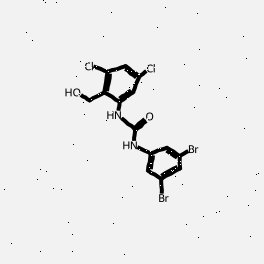 O=C(Nc1cc(Br)cc(Br)c1)Nc1cc(Cl)cc(Cl)c1CO